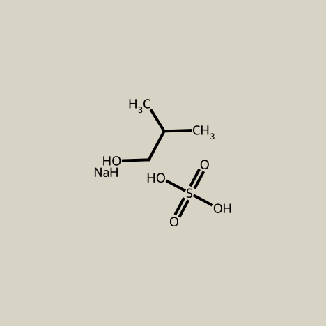 CC(C)CO.O=S(=O)(O)O.[NaH]